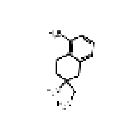 Bc1cccc2c1CCC(N)(CN)C2